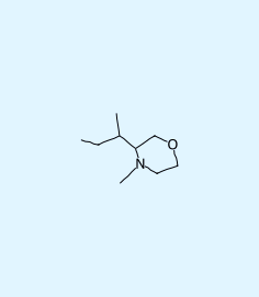 CCC(C)C1COCCN1C